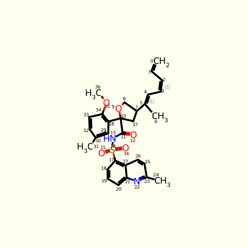 C=C/C=C\C=C(/C)C1COC(C(=O)NS(=O)(=O)c2cccc3nc(C)ccc23)(c2cc(C)ccc2OC)C1